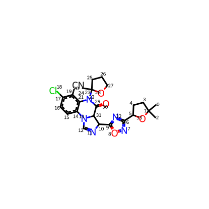 CC1(C)CCC(c2noc(C3N=CN4c5ccc(Cl)c(C#N)c5N(C5(C)CCCO5)C(=O)C34)n2)O1